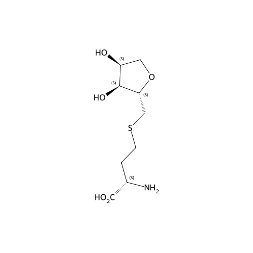 N[C@@H](CCSC[C@H]1OC[C@H](O)[C@@H]1O)C(=O)O